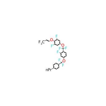 CCCc1ccc(C(F)(F)Oc2ccc(C(F)(F)Oc3cc(F)c(O/C=C/C(F)(F)F)c(F)c3)c(F)c2)cc1